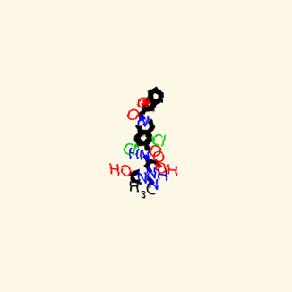 C/N=C(/NCC(NC(=O)c1c(Cl)cc2c(c1Cl)CCN(C(=O)c1cc3ccccc3o1)C2)C(=O)O)N1CC[C@H](O)C1